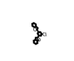 Clc1cc(-c2cc3ccccc3o2)cc(-c2cc3ccccc3o2)c1